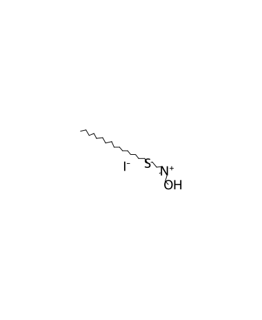 CCCCCCCCCCCCCCCCSCCC[N+](C)(C)CCO.[I-]